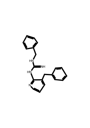 N=C(NCc1ccccc1)Nc1ncccc1Cc1ccccc1